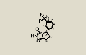 O=c1[nH]nc2n1[C@H](c1cccc(C(F)(F)F)c1)CC2